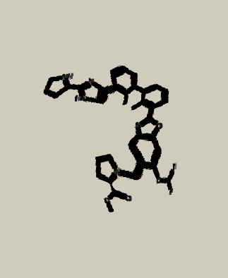 COC(=O)[C@@H]1CCCN1Cc1cc2nc(-c3cccc(-c4cccc(-c5c[nH]c(C6CCCN6)n5)c4C)c3C)oc2cc1OC(F)F